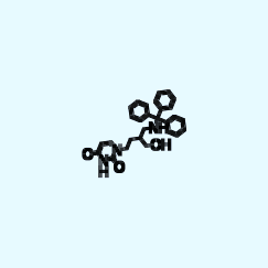 O=c1ccn(CCC(CO)CNC(c2ccccc2)(c2ccccc2)c2ccccc2)c(=O)[nH]1